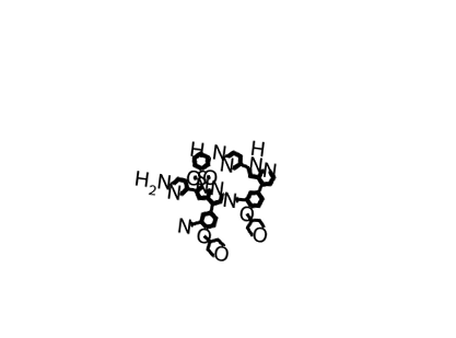 N#Cc1cc(-c2ccnc3[nH]c(-c4ccc(N)nc4)cc23)ccc1OC1CCOCC1.N#Cc1cc(-c2ccnc3c2cc(-c2ccc(N)nc2)n3S(=O)(=O)c2ccccc2)ccc1OC1CCOCC1